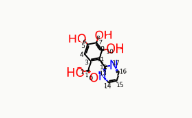 O=C(O)c1cc(O)c(O)c(O)c1-c1ncccn1